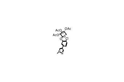 CC(=O)O[C@@H]1[C@@H](OC(C)=O)[C@H](OC(C)=O)CS[C@H]1Oc1cc(-c2cnn(C)c2)ccc1Cl